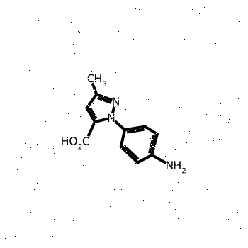 Cc1cc(C(=O)O)n(-c2ccc(N)cc2)n1